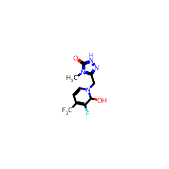 Cn1c(CN2C=CC(C(F)(F)F)=C(F)C2O)n[nH]c1=O